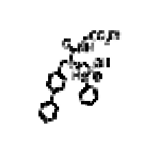 CCOC(=O)CNC(=O)[C@H](Cc1ccc(-c2ccccc2)cc1)NCP(=O)(O)Oc1ccccc1